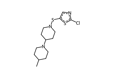 CC1CCN(C2CCN(Sc3cnc(Cl)s3)CC2)CC1